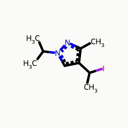 Cc1nn(C(C)C)cc1C(C)I